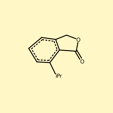 CC(C)c1cccc2c1C(=O)OC2